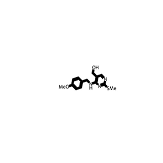 COc1ccc(CNc2nc(SC)ncc2CO)cc1